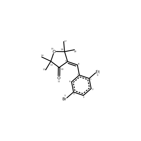 CCc1ccc(Br)cc1C=C1C(=O)C(C)(C)OC1(C)C